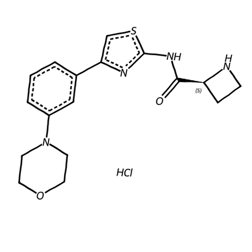 Cl.O=C(Nc1nc(-c2cccc(N3CCOCC3)c2)cs1)[C@@H]1CCN1